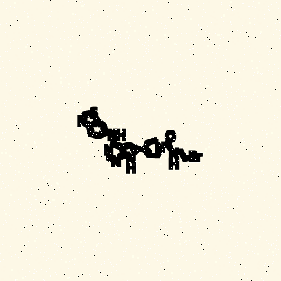 O=C(NCCBr)N1CC=C(c2cc3c(Nc4ccc5ncsc5c4)ncnc3[nH]2)CC1